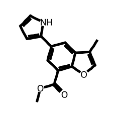 COC(=O)c1cc(-c2ccc[nH]2)cc2c(C)coc12